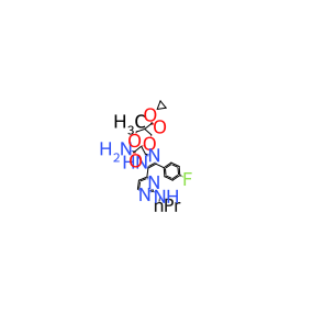 CCCNc1nccc(-c2[nH]c(C3(C(N)=O)OCC(C)(C(=O)OC4CC4)CO3)nc2-c2ccc(F)cc2)n1